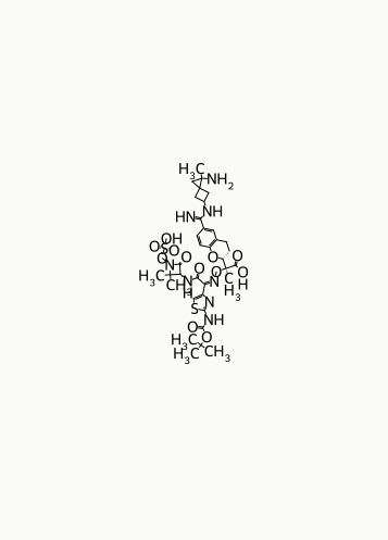 CC(C)(C)OC(=O)Nc1nc(/C(=N/O[C@](C)(C(=O)O)[C@H]2CCc3cc(C(=N)NC4CC5(C4)CC5(C)N)ccc3O2)C(=O)N[C@@H]2C(=O)N(OS(=O)(=O)O)C2(C)C)cs1